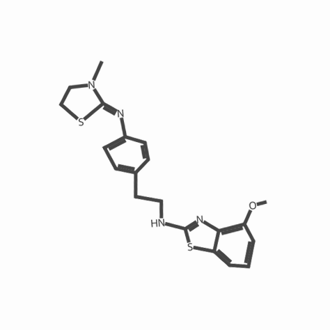 COc1cccc2sc(NCCc3ccc(/N=C4\SCCN4C)cc3)nc12